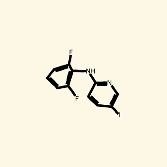 Fc1cccc(F)c1Nc1ccc(I)cn1